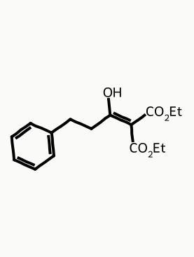 CCOC(=O)C(C(=O)OCC)=C(O)CCc1ccccc1